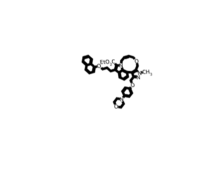 CCOC(=O)c1c(CCCOc2cccc3ccccc23)c2cccc3c2n1C/C=C\COCc1c-3c(COc2ccc(N3CCOCC3)cc2)nn1C